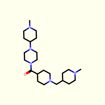 CN1CCC(CN2CCC(C(=O)N3CCN(C4CCN(C)CC4)CC3)CC2)CC1